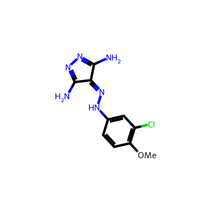 COc1ccc(NN=C2C(N)=NN=C2N)cc1Cl